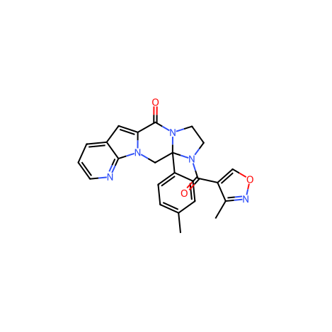 Cc1ccc(C23Cn4c(cc5cccnc54)C(=O)N2CCN3C(=O)c2conc2C)cc1